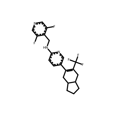 Fc1cncc(F)c1CNc1ccc(C2=C(C(F)(F)F)CC3CCCC3C2)cn1